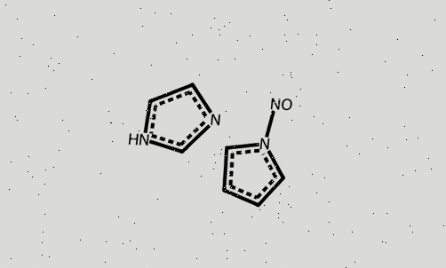 O=Nn1cccc1.c1c[nH]cn1